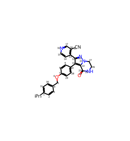 CC(C)c1ccc(COc2ccc(-c3c(-c4ccncc4C#N)nn4c3C(=O)NCC4)cc2)cc1